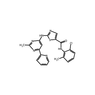 Cc1nc(Nc2ncc(C(=O)Nc3c(C)cccc3Cl)s2)cc(-c2ccccn2)n1